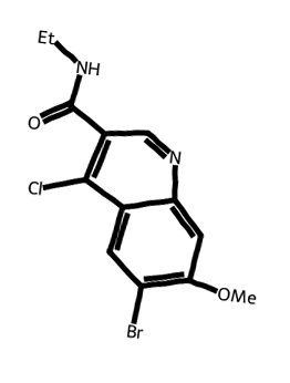 CCNC(=O)c1cnc2cc(OC)c(Br)cc2c1Cl